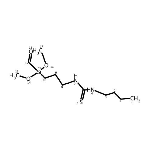 CCCCNC(=S)NCCC[Si](C=O)(OC)OC